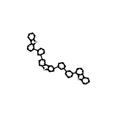 c1cc(-c2cccc(-c3cccc4c3oc3ccccc34)c2)cc(-c2ccc3oc4ccc(-c5cccc(-c6cccc7c6oc6ccccc67)c5)cc4c3c2)c1